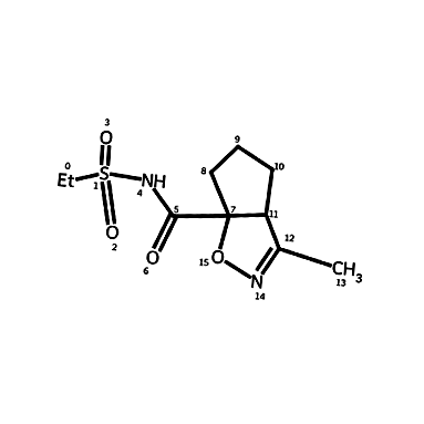 CCS(=O)(=O)NC(=O)C12CCCC1C(C)=NO2